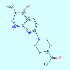 O=C(O)c1c[nH]c2nc(N3CCN(C(=O)C(F)(F)F)CC3)ccc2c1=O